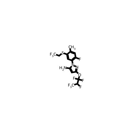 Cc1cc(F)c(-n2nc(OC(F)(F)C(F)C(F)(F)F)cc2N)cc1SCC(F)(F)F